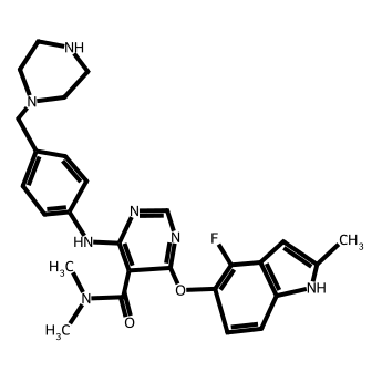 Cc1cc2c(F)c(Oc3ncnc(Nc4ccc(CN5CCNCC5)cc4)c3C(=O)N(C)C)ccc2[nH]1